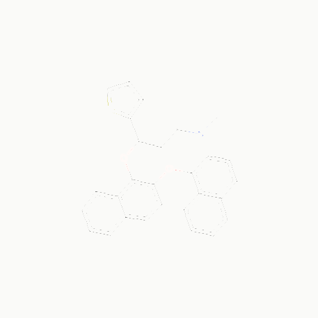 CNCCC(Oc1c(Oc2cccc3ccccc23)ccc2ccccc12)c1cccs1